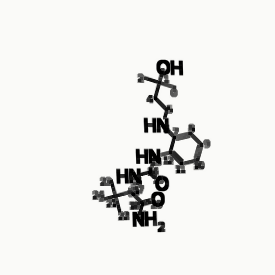 CC(C)(O)CCNc1ccccc1NC(=O)N[C@H](C(N)=O)C(C)(C)C